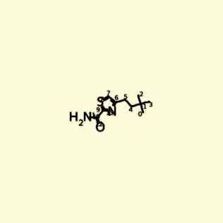 CC(C)(C)CCc1csc(C(N)=O)n1